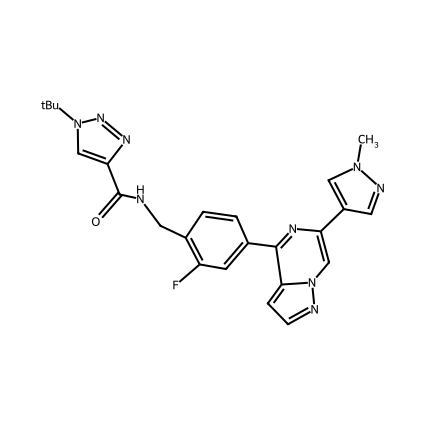 Cn1cc(-c2cn3nccc3c(-c3ccc(CNC(=O)c4cn(C(C)(C)C)nn4)c(F)c3)n2)cn1